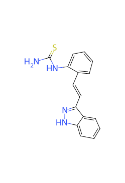 NC(=S)Nc1ccccc1C=Cc1n[nH]c2ccccc12